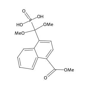 COC(=O)c1ccc(C(OC)(OC)P(=O)(O)O)c2ccccc12